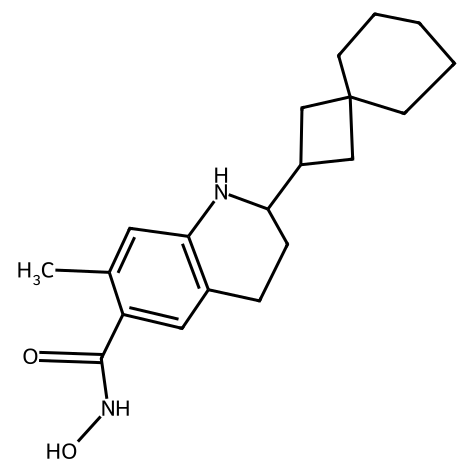 Cc1cc2c(cc1C(=O)NO)CCC(C1CC3(CCCCC3)C1)N2